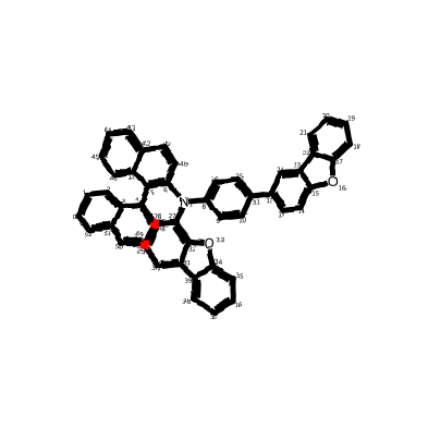 c1ccc2c(-c3c(N(c4ccc(-c5ccc6oc7ccccc7c6c5)cc4)c4cccc5c4oc4ccccc45)ccc4ccccc34)cccc2c1